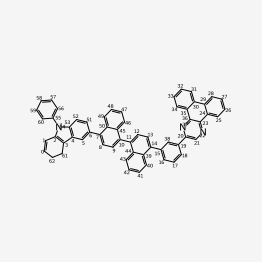 C1=Cc2c(c3cc(-c4ccc(-c5ccc(-c6cccc(-c7cnc8c9ccccc9c9ccccc9c8n7)c6)c6ccccc56)c5ccccc45)ccc3n2-c2ccccc2)CC1